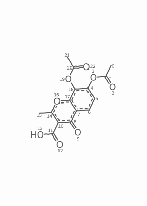 CC(=O)Oc1ccc2c(=O)c(C(=O)O)c(C)oc2c1OC(C)=O